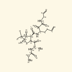 C=CCCC(NC(=O)[C@@H]1[C@@H]2[C@H](CN1C(=O)[C@@H](NC(=O)OC(C)(C)C)C(C)(C)C)C2(C)C)C(=O)C(=O)NCC=C